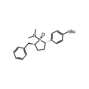 CCCCc1ccc([C@@H]2CC[C@@H](Cc3ccccc3)P2(=O)N(C)C)cc1